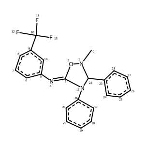 CN1OC(=Nc2cccc(C(F)(F)F)c2)N(c2ccccc2)C1c1ccccc1